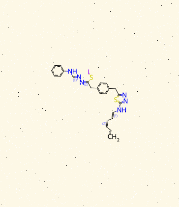 C=C/C=C\C=C\Nc1nnc(Cc2ccc(C/C(=N/N=C/Nc3ccccc3)SI)cc2)s1